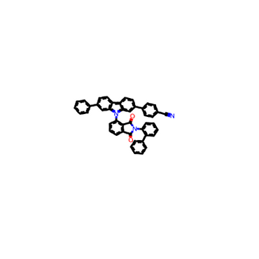 N#Cc1ccc(-c2ccc3c4ccc(-c5ccccc5)cc4n(-c4cccc5c4C(=O)N(c4ccccc4-c4ccccc4)C5=O)c3c2)cc1